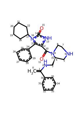 C=C(NC[C@@H]1CNCCN1C(=O)c1[nH]c(=O)n(C2CCCCC2)c1-c1ccccc1)c1ccccc1